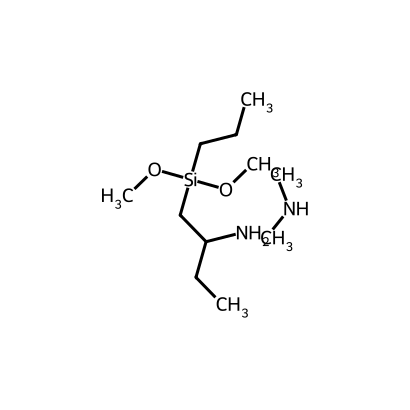 CCC[Si](CC(N)CC)(OC)OC.CNC